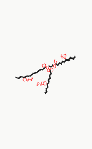 CCCCC(O)CCCCCC(=O)OCC(COC(=O)CCCCCCC(O)CCC)OC(=O)CCCCCC(O)CCCC